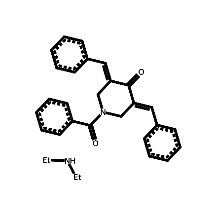 CCNCC.O=C1C(=Cc2ccccc2)CN(C(=O)c2ccccc2)CC1=Cc1ccccc1